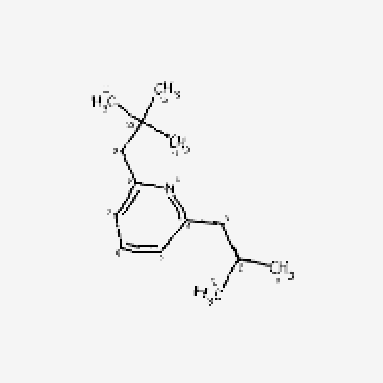 CC(C)Cc1cccc(CC(C)(C)C)n1